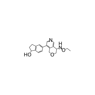 CCONC1COCc2c(-c3ccc4c(c3)CCC4O)cncc21